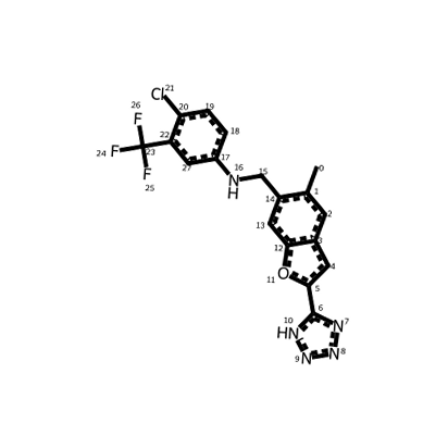 Cc1cc2cc(-c3nnn[nH]3)oc2cc1CNc1ccc(Cl)c(C(F)(F)F)c1